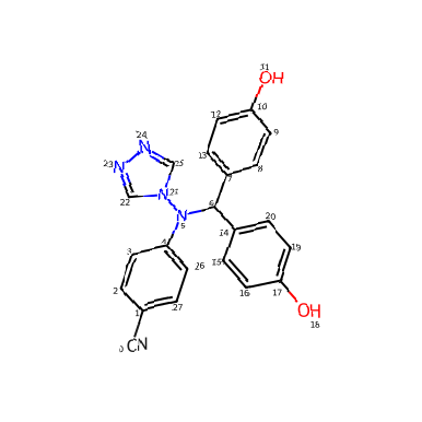 N#Cc1ccc(N(C(c2ccc(O)cc2)c2ccc(O)cc2)n2cnnc2)cc1